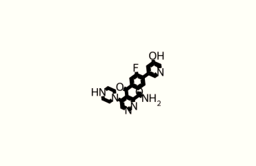 NC(=O)c1nncc(N2CCNCC2)c1C(=O)c1ccc(-c2cncc(O)c2)c(F)c1